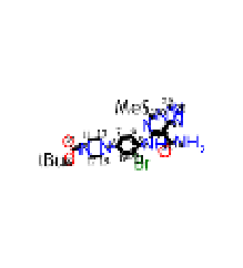 CSc1nc(Nc2ccc(N3CCN(C(=O)OC(C)(C)C)CC3)cc2Br)c(C(N)=O)c2nncn12